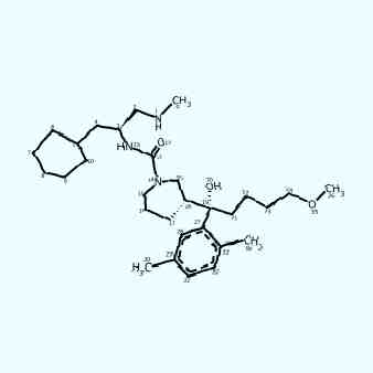 CNC[C@H](CC1CCCCC1)NC(=O)N1CCC[C@@H]([C@@](O)(CCCCOC)c2cc(C)ccc2C)C1